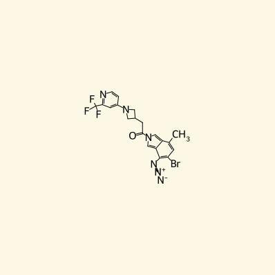 Cc1cc(Br)c(N=[N+]=[N-])c2cn(C(=O)CC3CN(c4ccnc(C(F)(F)F)c4)C3)cc12